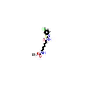 CC(C)(C)OC(=O)NCCCCCCC(=O)Nc1nc2ccc(Cl)cc2s1